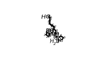 BN1CCC[C@H]1C(=O)OC(CCCC#CCC#CCO)OC(=O)[C@@H]1CCCN1B